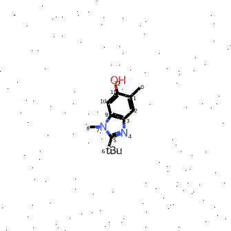 Cc1cc2nc(C(C)(C)C)n(C)c2cc1O